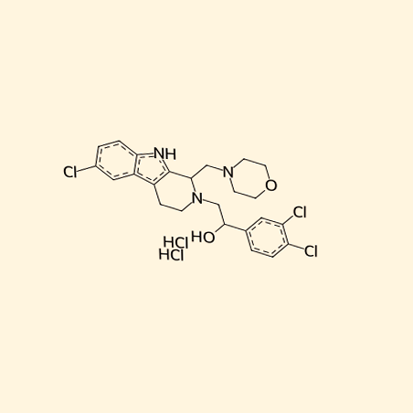 Cl.Cl.OC(CN1CCc2c([nH]c3ccc(Cl)cc23)C1CN1CCOCC1)c1ccc(Cl)c(Cl)c1